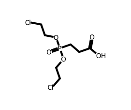 O=C(O)CCP(=O)(OCCCl)OCCCl